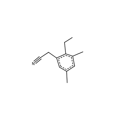 CCc1c(C)cc(C)cc1CC#N